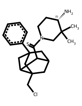 CC1(C)CN(C(=S)C2C3CC4(c5ccccc5)CC2C(CCl)(C3)C4)CC[C@@H]1N